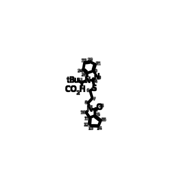 CC(C)(C)C(C(=O)O)n1c(SCCCN2Cc3ccccc3C2=O)nc2ccccc21